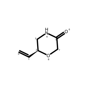 C=C[C@H]1CNC(=O)CO1